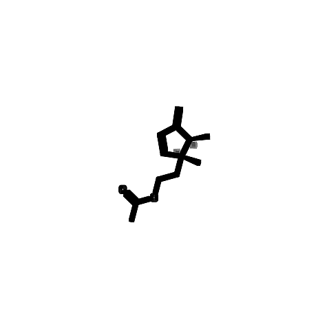 C=C1C=C[C@@](C)(CCOC(C)=O)[C@@H]1C